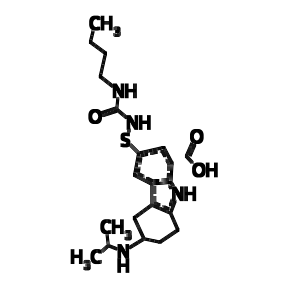 CCCCNC(=O)NSc1ccc2[nH]c3c(c2c1)CC(NC(C)C)CC3.O=CO